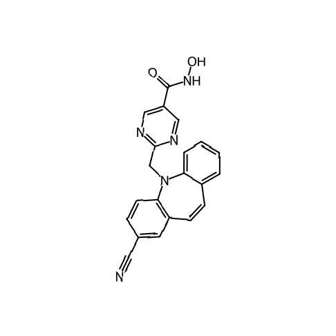 N#Cc1ccc2c(c1)C=Cc1ccccc1N2Cc1ncc(C(=O)NO)cn1